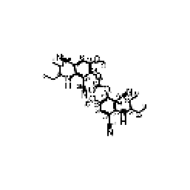 CCC(CC)Nc1c(C#N)cc(OC)c(OC(=O)Oc2c(OC)cc(C#N)c(NC(CC)CC)c2C#N)c1C#N